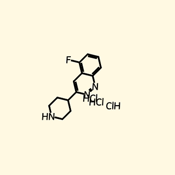 Cl.Cl.Cl.Fc1cccc2nnc(C3CCNCC3)cc12